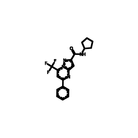 O=C(NC1CCCC1)c1cc2nc(-c3ccccc3)cc(C(F)(F)F)n2n1